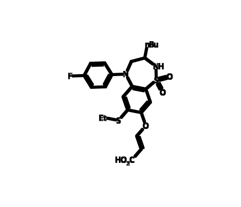 CCCCC1CN(c2ccc(F)cc2)c2cc(SCC)c(O/C=C/C(=O)O)cc2S(=O)(=O)N1